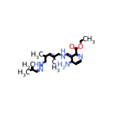 C=C(C)/C=N\NCC(C)/C=C(\C)CN/C=C1/C(C(=O)OCC)=NC=CC1N